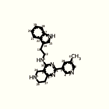 Cc1cncc(-c2nc3c(c(NCCc4c[nH]c5ccccc45)n2)CNCC3)c1